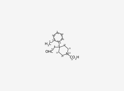 Cc1ccccc1C1(CC=O)CCN(C(=O)O)CC1